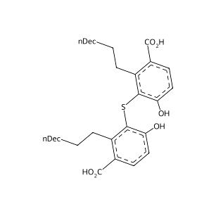 CCCCCCCCCCCCc1c(C(=O)O)ccc(O)c1Sc1c(O)ccc(C(=O)O)c1CCCCCCCCCCCC